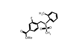 COC(=O)c1ccc(CN(c2ccccc2C)S(C)(=O)=O)c(F)c1